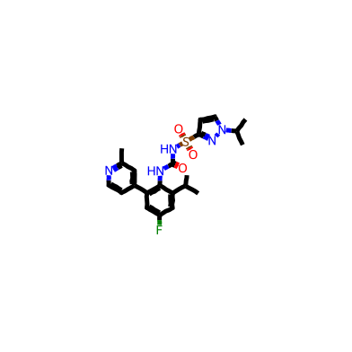 Cc1cc(-c2cc(F)cc(C(C)C)c2NC(=O)NS(=O)(=O)c2ccn(C(C)C)n2)ccn1